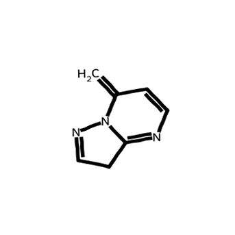 C=C1C=CN=C2CC=NN12